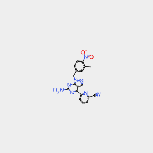 Cc1cc(Cn2ncc3c(-c4cccc(C#N)n4)nc(N)nc32)ccc1[N+](=O)[O-]